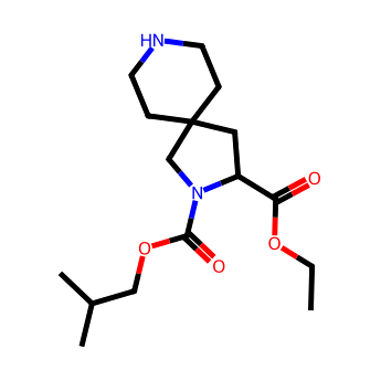 CCOC(=O)C1CC2(CCNCC2)CN1C(=O)OCC(C)C